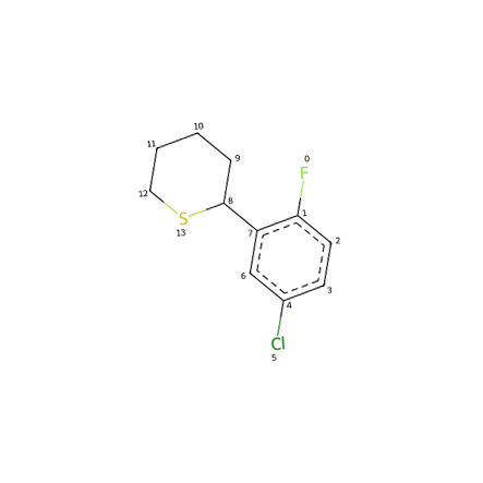 Fc1ccc(Cl)cc1C1CCCCS1